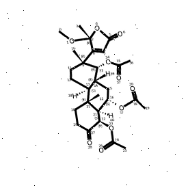 CO[C@]1(C)OC(=O)C=C1[C@@]1(C)CC[C@H]2[C@@H](C[C@H](OC(C)=O)[C@H]3[C@@H](OC(C)=O)C(=O)CC[C@@]32C)[C@H]1OC(C)=O